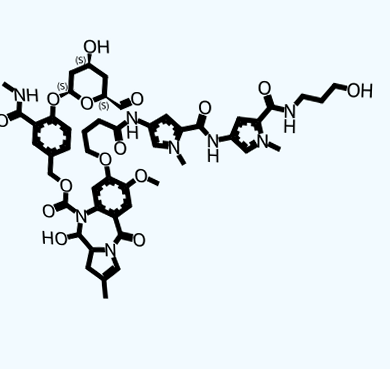 CNC(=O)c1cc(COC(=O)N2c3cc(OCCCC(=O)Nc4cc(C(=O)Nc5cc(C(=O)NCCCO)n(C)c5)n(C)c4)c(OC)cc3C(=O)N3C=C(C)CC3C2O)ccc1O[C@H]1C[C@@H](O)C[C@@H](C=O)O1